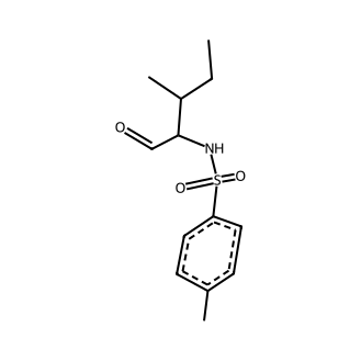 CCC(C)C(C=O)NS(=O)(=O)c1ccc(C)cc1